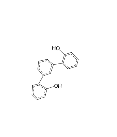 Oc1ccccc1-c1cccc(-c2ccccc2O)c1